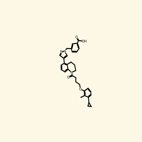 Cc1c(OCCCC(=O)N2CCCc3c(-c4cnn(Cc5cccc(C(=O)O)c5)c4)cccc32)cccc1C1CC1